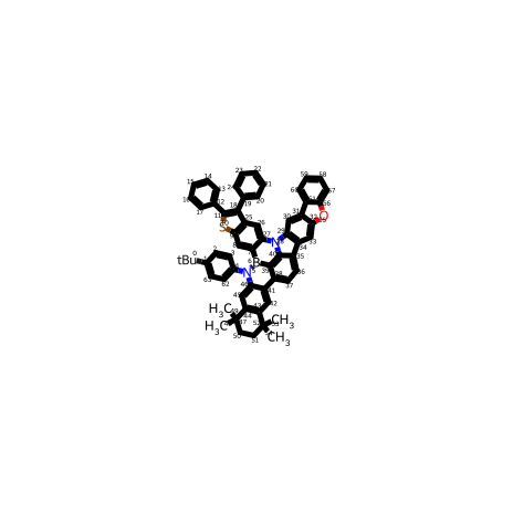 CC(C)(C)c1ccc(N2B3c4cc5sc(-c6ccccc6)c(-c6ccccc6)c5cc4-n4c5cc6c(cc5c5ccc(c3c54)-c3cc4c(cc32)C(C)(C)CCC4(C)C)oc2ccccc26)cc1